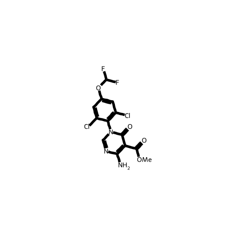 COC(=O)c1c(N)ncn(-c2c(Cl)cc(OC(F)F)cc2Cl)c1=O